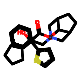 O=C(OC1C2CCC1CN(Cc1ccccc1)C2)C(O)(c1cccs1)C1CCCC1